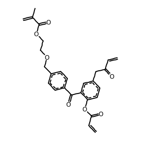 C=CC(=O)Cc1ccc(OC(=O)C=C)c(C(=O)c2ccc(COCCOC(=O)C(=C)C)cc2)c1